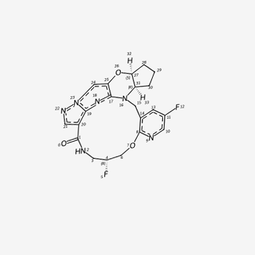 O=C1NC[C@@H](F)COc2ncc(F)cc2CN2c3nc4c1cnn4cc3O[C@H]1CCC[C@H]12